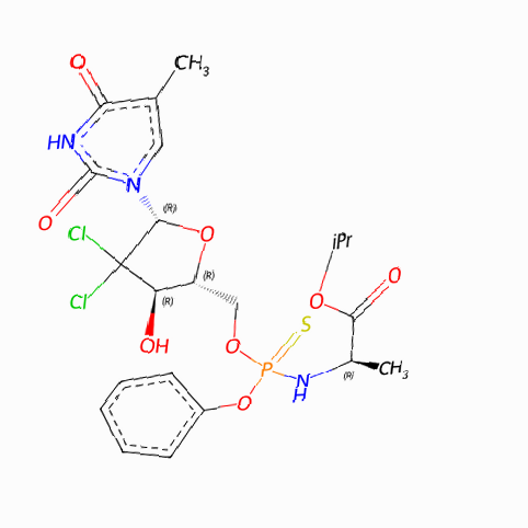 Cc1cn([C@@H]2O[C@H](COP(=S)(N[C@H](C)C(=O)OC(C)C)Oc3ccccc3)[C@@H](O)C2(Cl)Cl)c(=O)[nH]c1=O